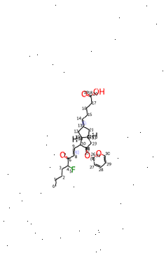 CCCCC(F)C(=O)/C=C/C1[C@H]2C/C(=C/CCCC(=O)O)C[C@H]2C[C@H]1O[C@H]1C=CC=CO1